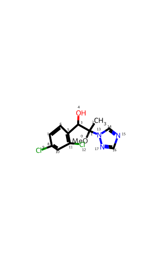 COC(C)(C(O)c1ccc(Cl)cc1Cl)n1cncn1